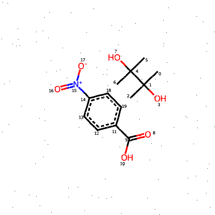 CC(C)(O)C(C)(C)O.O=C(O)c1ccc([N+](=O)[O-])cc1